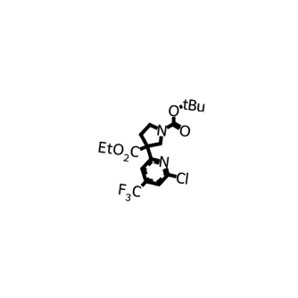 CCOC(=O)C1(c2cc(C(F)(F)F)cc(Cl)n2)CCN(C(=O)OC(C)(C)C)C1